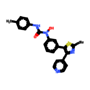 Cc1ccc(NC(=O)N(O)c2cccc(-c3sc(C(C)(C)C)nc3-c3ccncc3)c2)cc1